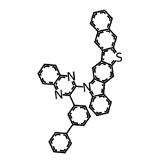 c1ccc(-c2cccc(-c3nc4ccccc4nc3-n3c4ccccc4c4cc5sc6cc7ccccc7cc6c5cc43)c2)cc1